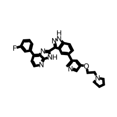 Fc1cccc(-c2ccnc3[nH]c(-c4n[nH]c5ccc(-c6cncc(OCCN7CCCC7)c6)cc45)nc23)c1